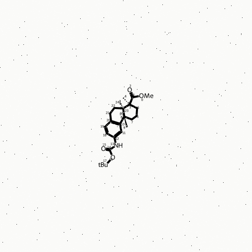 COC(=O)[C@@]1(C)CCC[C@]2(C)c3cc(NC(=O)OC(C)(C)C)ccc3CC[C@@]12I